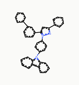 c1ccc(-c2cccc(-c3cc(-c4ccccc4)nn3-c3ccc(-n4c5ccccc5c5ccccc54)cc3)c2)cc1